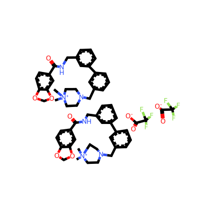 C[N+]1(C)CCN(Cc2cccc(-c3cccc(CNC(=O)c4ccc5c(c4)OCO5)c3)c2)CC1.C[N+]1(C)CCN(Cc2cccc(-c3cccc(CNC(=O)c4ccc5c(c4)OCO5)c3)c2)CC1.O=C([O-])C(F)(F)F.O=C([O-])C(F)(F)F